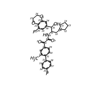 Cc1cc(C(=O)C(=O)NC(CN2CCCC2)C(O)c2cc(F)c3c(c2)OCCO3)ccc1-c1ccc(F)cc1